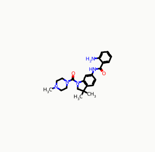 CN1CCN(C(=O)N2CC(C)(C)c3ccc(NC(=O)c4ccccc4N)cc32)CC1